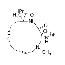 CC(C)N[C@]1(C)CN(C)CC=CCCCCCC[C@@](C)(C(=O)C(C)C)NCC1=O